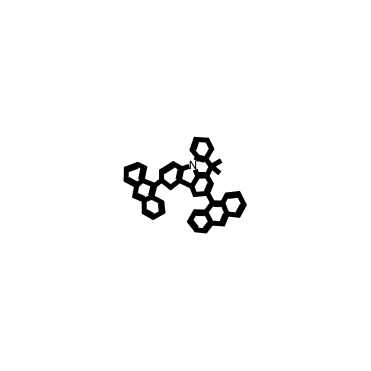 CC1(C)C2=C3C(CC(c4c5ccccc5cc5ccccc45)=C2)C2=C(C=CC(c4c5ccccc5cc5ccccc45)C2)N3C2=C1CCC=C2